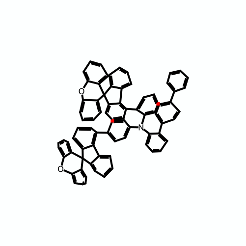 c1ccc(-c2ccc(-c3ccccc3N(c3ccc(-c4cccc5c4-c4ccccc4C54c5ccccc5Oc5ccccc54)cc3)c3ccccc3-c3cccc4c3-c3ccccc3C43c4ccccc4Oc4ccccc43)cc2)cc1